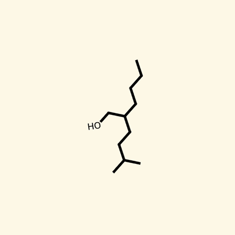 CCCCC(CO)CCC(C)C